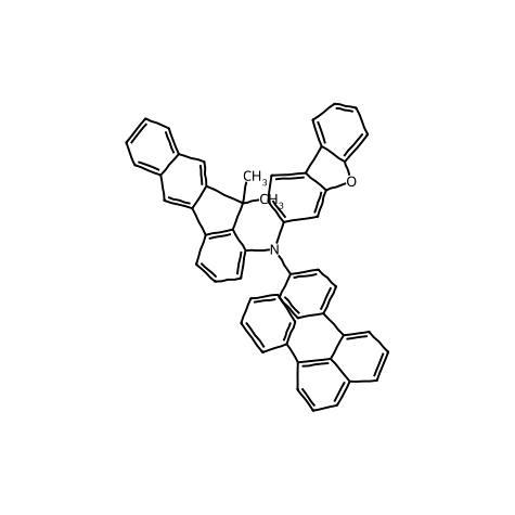 CC1(C)c2cc3ccccc3cc2-c2cccc(N(c3ccc(-c4cccc5cccc(-c6ccccc6)c45)cc3)c3ccc4c(c3)oc3ccccc34)c21